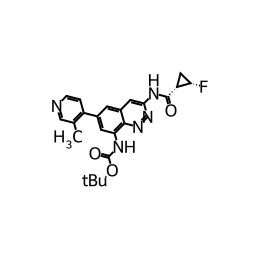 Cc1cnccc1-c1cc(NC(=O)OC(C)(C)C)c2nnc(NC(=O)[C@@H]3C[C@@H]3F)cc2c1